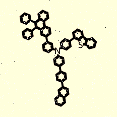 c1ccc(-c2c(-c3ccccc3)c3cc(-c4cccc(N(c5ccc(-c6ccc(-c7ccc8ccccc8c7)cc6)cc5)c5ccc(-c6cccc7c6sc6ccccc67)cc5)c4)ccc3c3ccccc23)cc1